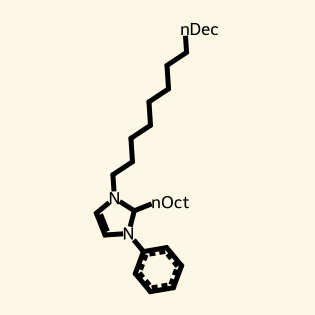 CCCCCCCCCCCCCCCCCCN1C=CN(c2ccccc2)C1CCCCCCCC